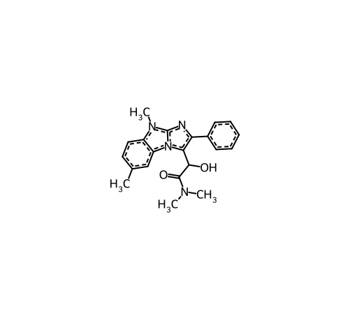 Cc1ccc2c(c1)n1c(C(O)C(=O)N(C)C)c(-c3ccccc3)nc1n2C